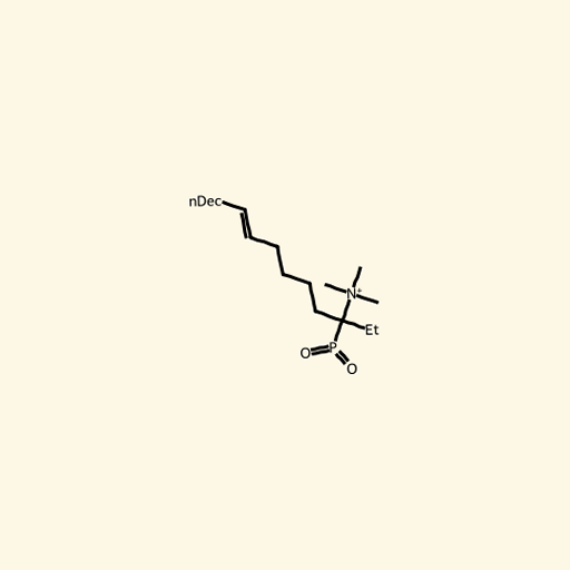 CCCCCCCCCCC=CCCCCC(CC)(P(=O)=O)[N+](C)(C)C